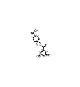 O=C(NCC1(F)CCN(C(=O)O)CC1)c1cc(Cl)cc(Cl)c1